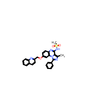 Cc1nc(-c2ccccc2)n2c1c(NS(C)(=O)=O)nc1ccc(OCc3ccc4ccccc4n3)cc12